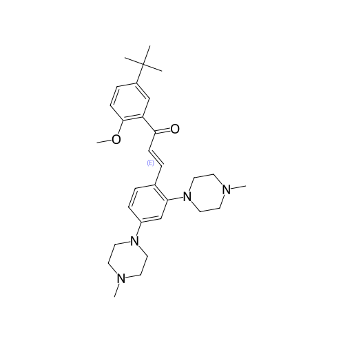 COc1ccc(C(C)(C)C)cc1C(=O)/C=C/c1ccc(N2CCN(C)CC2)cc1N1CCN(C)CC1